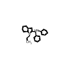 C=CCn1c(C(Nc2ccccc2)c2ccccc2)cc2ccccc21